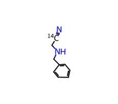 N#[14C]CNCc1ccccc1